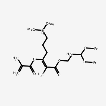 C=C(C)C(=O)OC(CCC[SiH](OC)OC)=C(C)C(=O)OC[SiH2]C(OC(C)C)OC(C)C